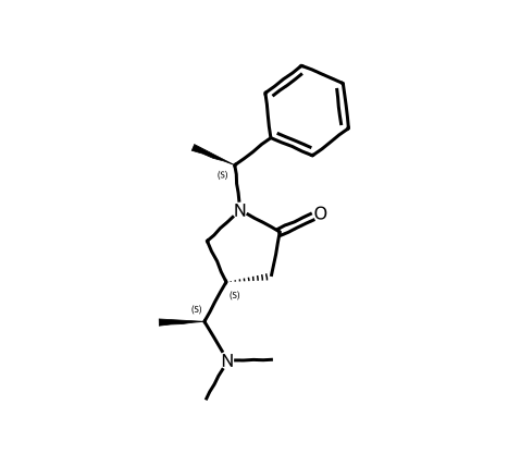 C[C@@H]([C@H]1CC(=O)N([C@@H](C)c2ccccc2)C1)N(C)C